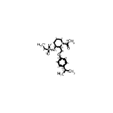 CCS(=O)(=O)NC1CCCN(C(C)=O)C1COc1ccc(C(C)C)cc1